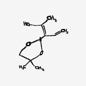 C=C/C(B1OCC(C)(C)O1)=C(\C)O